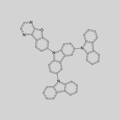 c1ccc2c(c1)c1ccccc1n2-c1ccc2c(c1)c1cc(-n3c4ccccc4c4ccccc43)ccc1n2-c1ccc2c(c1)oc1nccnc12